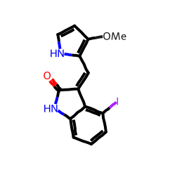 COc1cc[nH]c1C=C1C(=O)Nc2cccc(I)c21